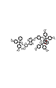 COc1ccc(C(OCc2ccc(COc3ncnc4c3ncn4[C@H]3C[C@H](O)[C@@H](COC(c4ccccc4)(c4ccc(OC)cc4)c4ccc(OC)cc4)O3)cc2COC(c2ccccc2)(c2ccc(OC)cc2)c2ccc(OC)cc2)(c2ccccc2)c2ccc(OC)cc2)cc1